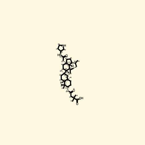 CCC[C@@H]1[C@@]2(C)CC[C@H](OC(=O)CC(C)(C)C(=O)O)C(C)(C)[C@@H]2CC[C@@]1(C)[C@]1(C)CC[C@@]2(CC(=O)NC3CCNC3)CC[C@@H](C(C)C)[C@@H]2C1